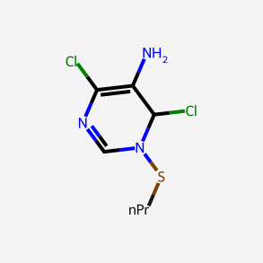 CCCSN1C=NC(Cl)=C(N)C1Cl